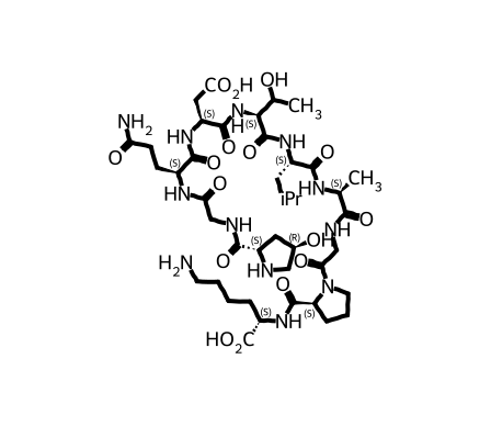 CC(C)C[C@H](NC(=O)[C@@H](NC(=O)[C@H](CC(=O)O)NC(=O)[C@H](CCC(N)=O)NC(=O)CNC(=O)[C@@H]1C[C@@H](O)CN1)C(C)O)C(=O)N[C@@H](C)C(=O)NCC(=O)N1CCC[C@H]1C(=O)N[C@@H](CCCCN)C(=O)O